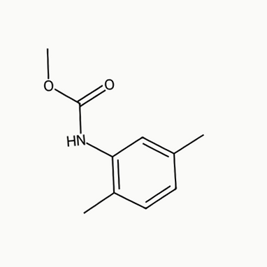 COC(=O)Nc1cc(C)ccc1C